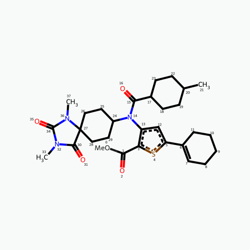 COC(=O)c1sc(C2=CCCCC2)cc1N(C(=O)C1CCC(C)CC1)C1CCC2(CC1)C(=O)N(C)C(=O)N2C